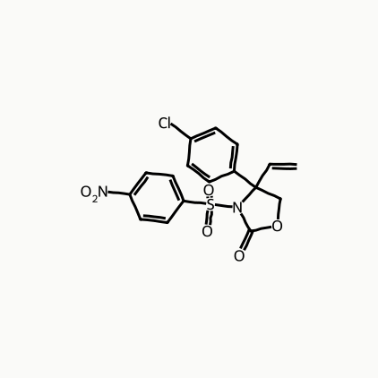 C=CC1(c2ccc(Cl)cc2)COC(=O)N1S(=O)(=O)c1ccc([N+](=O)[O-])cc1